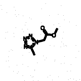 COC(=O)Cn1nnnc1C